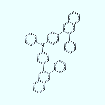 c1ccc(-c2cc3ccccc3cc2-c2ccc(N(c3ccccc3)c3ccc(-c4cc5ccccc5cc4-c4ccccc4)cc3)cc2)cc1